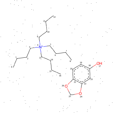 CCCC[N+](CCCC)(CCCC)CCCC.Oc1ccc2c(c1)OCO2